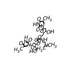 Cc1cn([C@H]2C[C@@H](O)C(COP(=O)(NCCN(C)C)O[C@@H]3C[C@H](n4cc(C)c(=O)[nH]c4=O)OC3CO)O2)c(=O)[nH]c1=O